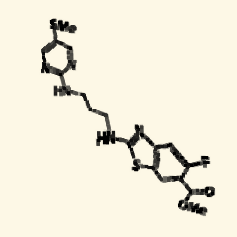 COC(=O)c1cc2sc(NCCCNc3ncc(SC)cn3)nc2cc1F